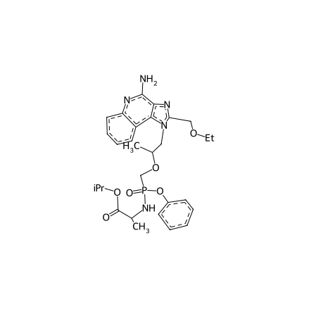 CCOCc1nc2c(N)nc3ccccc3c2n1CC(C)OCP(=O)(NC(C)C(=O)OC(C)C)Oc1ccccc1